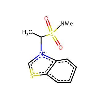 CNS(=O)(=O)C(C)[n+]1csc2ccccc21